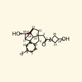 O=C(CC1(Cc2ccc(F)cc2)CC2=CC(O)C3CC2C1C3)N1CC(O)C1